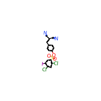 N#CC(C#N)=Cc1ccc(OS(=O)(=O)c2cc(I)c(Cl)cc2Cl)cc1